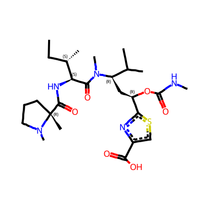 CC[C@H](C)[C@H](NC(=O)[C@@]1(C)CCCN1C)C(=O)N(C)[C@H](C[C@@H](OC(=O)NC)c1nc(C(=O)O)cs1)C(C)C